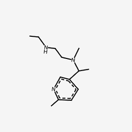 CCNCCN(C)C(C)c1ccc(C)nc1